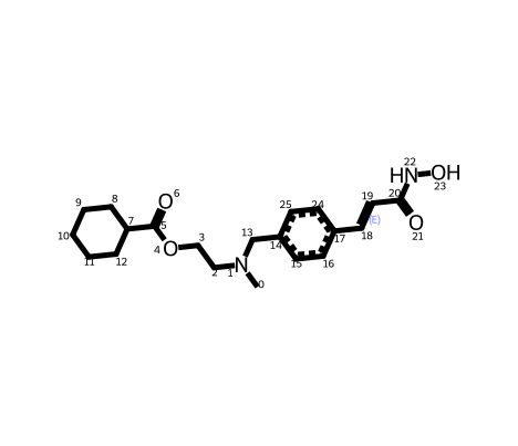 CN(CCOC(=O)C1CCCCC1)Cc1ccc(/C=C/C(=O)NO)cc1